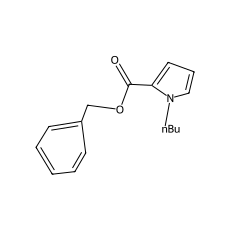 CCCCn1cccc1C(=O)OCc1ccccc1